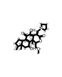 COCC1OC(=O)C(=CN2CCCC2)C2=C(O)C(=O)C3=C(C(O)CC4(C)C(C)CCC34)C21C